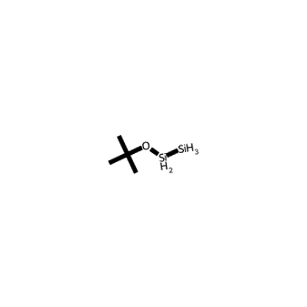 CC(C)(C)O[SiH2][SiH3]